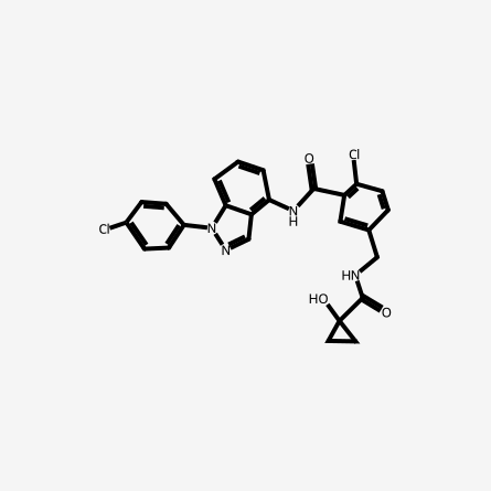 O=C(Nc1cccc2c1cnn2-c1ccc(Cl)cc1)c1cc(CNC(=O)C2(O)CC2)ccc1Cl